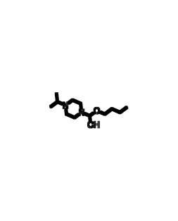 CCCCOC(O)N1CCN(C(C)C)CC1